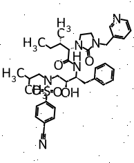 CC[C@H](C)[C@@H](C(=O)N[C@@H](Cc1ccccc1)[C@@H](O)CN(CC(C)C)S(=O)(=O)c1ccc(C#N)cc1)N1CCN(Cc2cccnc2)C1=O